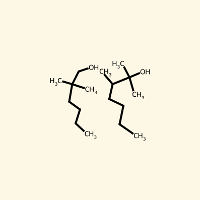 CCCCC(C)(C)CO.CCCCC(C)C(C)(C)O